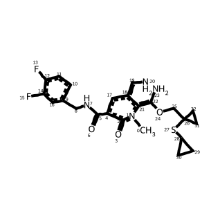 Cn1c(=O)c(C(=O)NCc2ccc(F)c(F)c2)cc(=C/N)/c1=C(\N)OCC1(SC2CC2)CC1